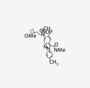 CNC(=O)c1c2cc(C3CC3)c(N(CCC3(OC)CCC3)S(C)(=O)=O)cc2nn1-c1ccc(C)cc1